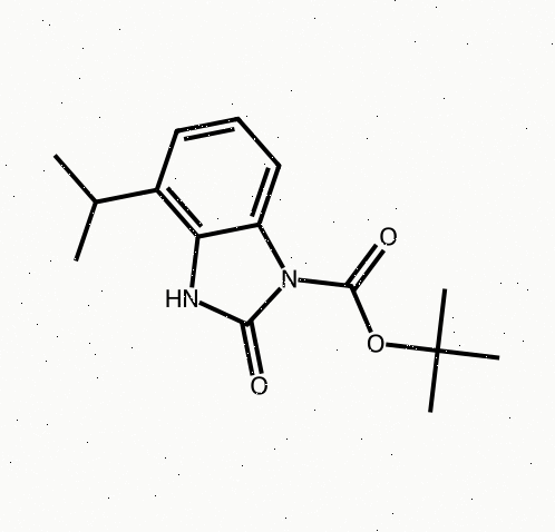 CC(C)c1cccc2c1[nH]c(=O)n2C(=O)OC(C)(C)C